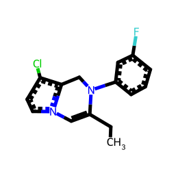 CCC1=Cn2ccc(Cl)c2CN1c1cccc(F)c1